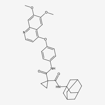 COc1cc2nccc(Oc3ccc(NC(=O)C4(C(=O)NC56CC7CC(CC(C7)C5)C6)CC4)cc3)c2cc1OC